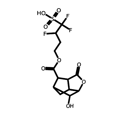 O=C(OCCC(F)C(F)(F)S(=O)(=O)O)C1C2CC3C(OC(=O)C31)C2O